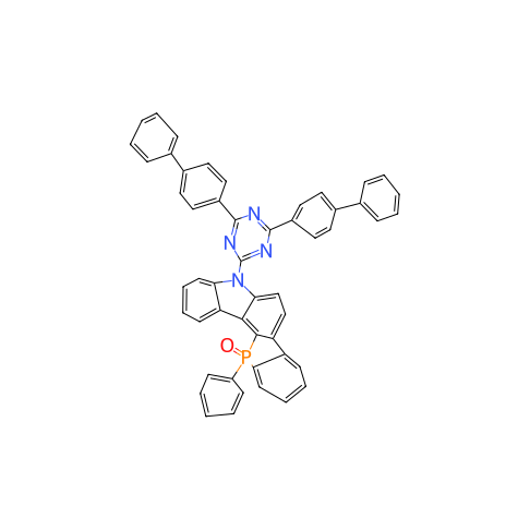 O=P1(c2ccccc2)c2ccccc2-c2ccc3c(c21)c1ccccc1n3-c1nc(-c2ccc(-c3ccccc3)cc2)nc(-c2ccc(-c3ccccc3)cc2)n1